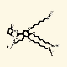 CNCCCc1c(C(=O)ON2C(=O)CCC2=O)cc(OCCCCCCN=[N+]=[N-])c(OCCCCCCN=[N+]=[N-])c1OCCCCCCN=[N+]=[N-]